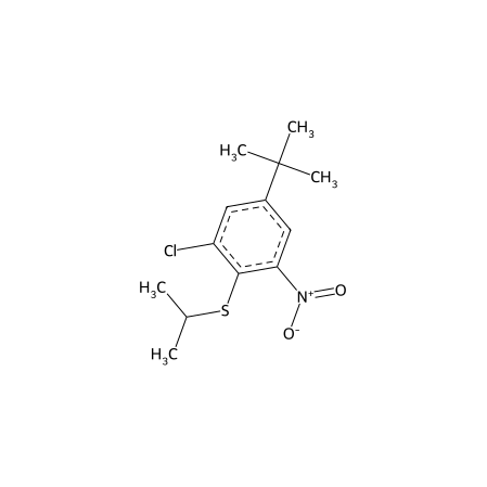 CC(C)Sc1c(Cl)cc(C(C)(C)C)cc1[N+](=O)[O-]